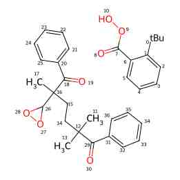 CC(C)(C)c1ccccc1C(=O)OO.CC(C)(CCC(C)(C(=O)c1ccccc1)C1OO1)C(=O)c1ccccc1